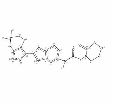 CN(C(=O)CN1CCOCC1=O)c1ccc2cc(-c3n[nH]c4c3CCC(C)(C)C4)[nH]c2c1